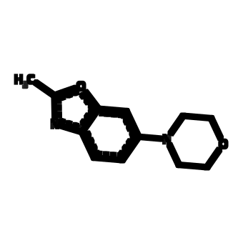 Cc1nc2ccc(N3CCOCC3)cc2o1